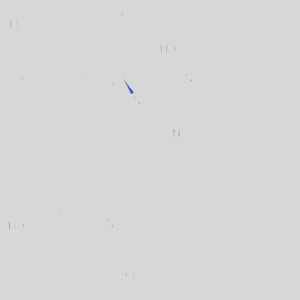 COC(=O)N1c2ccc3c(nc(N(C)c4cccc(Cl)c4)n3[C@@H]3CCC[C@@H](C(=O)O)C3)c2CC[C@@H]1C